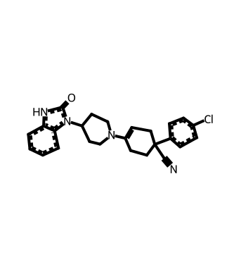 N#CC1(c2ccc(Cl)cc2)CC=C(N2CCC(n3c(=O)[nH]c4ccccc43)CC2)CC1